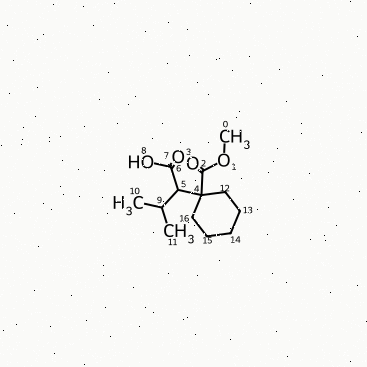 COC(=O)C1(C(C(=O)O)C(C)C)CCCCC1